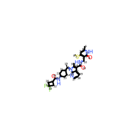 CSc1cc(C)[nH]c(=O)c1CNC(=O)c1c(C)n([C@H](C)C2CCC(NC(=O)C3CC(F)(F)C3)CC2)c2ncccc12